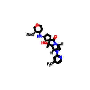 CO[C@@H]1COCC[C@@H]1N[C@@H]1CC[C@@]2(C1)C(=O)N1C([C@@H]3C[C@H]1CN3c1cc(C(F)(F)F)ccn1)C2(C)O